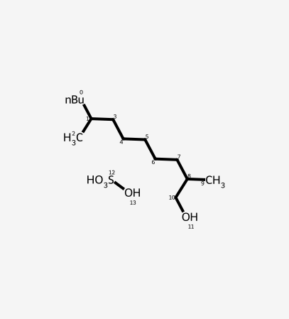 CCCCC(C)CCCCCC(C)CO.O=S(=O)(O)O